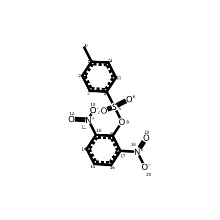 Cc1ccc(S(=O)(=O)Oc2c([N+](=O)[O-])cccc2[N+](=O)[O-])cc1